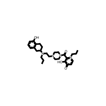 CCCN(CCN1CCN(C(=O)c2c(O)c(=O)ccn2CCC)CC1)C1CCc2c(O)cccc2C1